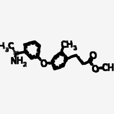 COC(=O)CCc1ccc(Oc2cccc([C@@H](C)N)c2)cc1C